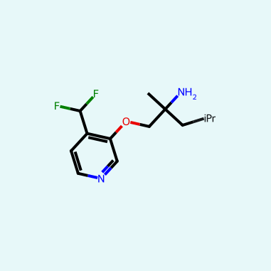 CC(C)CC(C)(N)COc1cnccc1C(F)F